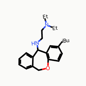 CCC(C)c1ccc2c(c1)C(NCCN(CC)CC)c1ccccc1CO2